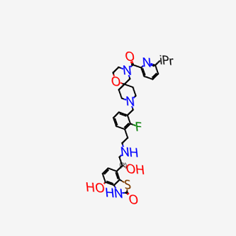 CC(C)c1cccc(C(=O)N2CCOC3(CCN(Cc4cccc(CCNC[C@H](O)c5ccc(O)c6[nH]c(=O)sc56)c4F)CC3)C2)n1